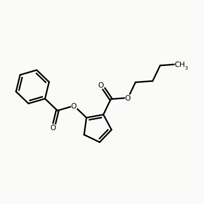 CCCCOC(=O)C1=C(OC(=O)c2ccccc2)CC=C1